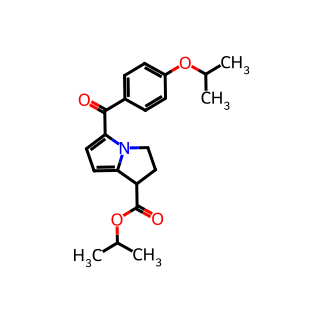 CC(C)OC(=O)C1CCn2c(C(=O)c3ccc(OC(C)C)cc3)ccc21